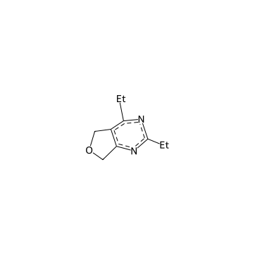 CCc1nc(CC)c2c(n1)COC2